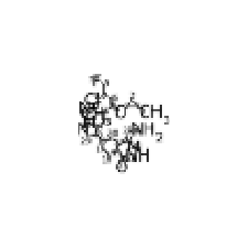 C[C@@H]1C[C@H]1OC(=C/C(Cl)=C/F)/C(C#N)=C/c1c(-c2ccc3c(=O)[nH]nc(CN)c3c2)cnn1C